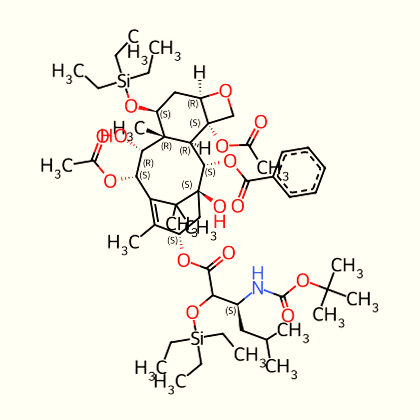 CC[Si](CC)(CC)OC(C(=O)O[C@H]1C[C@@]2(O)[C@@H](OC(=O)c3ccccc3)[C@@H]3[C@]4(OC(C)=O)CO[C@@H]4C[C@H](O[Si](CC)(CC)CC)[C@@]3(C)[C@@H](O)[C@@H](OC(C)=O)C(=C1C)C2(C)C)[C@H](CC(C)C)NC(=O)OC(C)(C)C